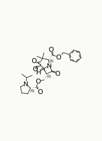 CC(C)N1CCC[C@H]1C(=O)OC[C@H]1C(=O)N2[C@@H](C(=O)OCc3ccccc3)C(C)(C)S(=O)(=O)[C@H]12